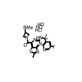 CNC1CN(C(=O)c2nc(N[C@@H](C)c3cncc(F)c3)nc3nc(C)sc23)C1.Cl.Cl.Cl